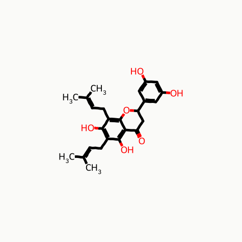 CC(C)=CCc1c(O)c(CC=C(C)C)c2c(c1O)C(=O)CC(c1cc(O)cc(O)c1)O2